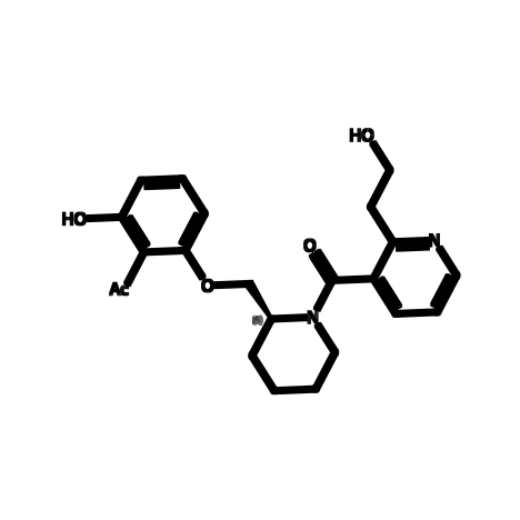 CC(=O)c1c(O)cccc1OC[C@@H]1CCCCN1C(=O)c1cccnc1CCO